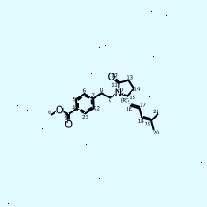 COC(=O)c1ccc(CCN2C(=O)CC[C@@H]2C=CC=C(C)C)cc1